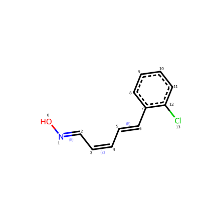 O/N=C/C=C\C=C\c1ccccc1Cl